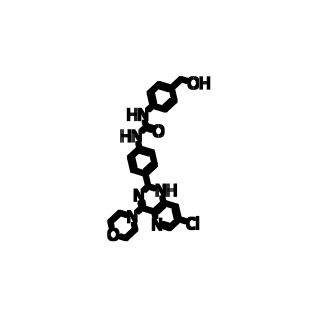 O=C(Nc1ccc(CO)cc1)Nc1ccc(C2N=C(N3CCOCC3)c3ncc(Cl)cc3N2)cc1